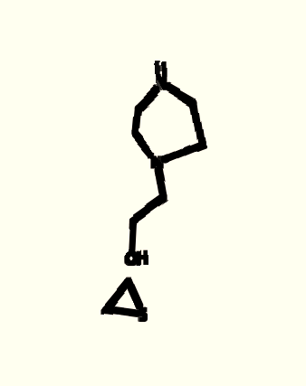 C1CS1.OCCN1CCNCC1